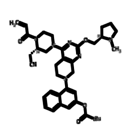 C=CC(=O)N1CCN(c2nc(OC[C@H]3CCCN3C)nc3c2CCN(c2cc(OC(=O)C(C)(C)C)cc4ccccc24)C3)C[C@@H]1CC#N